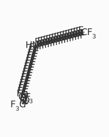 FC(F)(OC(F)(F)C(F)(F)F)OC(F)(C(F)(F)F)C(F)(F)C(F)(F)C(F)(F)C(F)(F)C(F)(F)C(F)(F)C(F)(F)C(F)(F)C(F)(F)C(F)(F)C(F)(F)C(F)(F)C(F)(F)C(F)(F)C(F)(F)C(F)(F)C(F)(F)NC(F)(F)C(F)(F)C(F)(F)C(F)(F)C(F)(F)C(F)(F)C(F)(F)C(F)(F)C(F)(F)C(F)(F)C(F)(F)C(F)(F)C(F)(F)C(F)(F)C(F)(F)C(F)(F)C(F)(F)C(F)(F)F